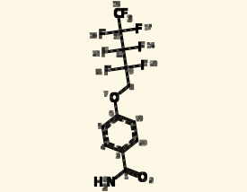 NC(=O)c1ccc(OCC(F)(F)C(F)(F)C(F)(F)C(F)(F)F)cc1